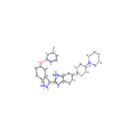 Cc1ccnc(Oc2ccc3[nH]nc(-c4nc5ccc(N6CCC(N7CCCCC7)CC6)cc5[nH]4)c3c2)c1